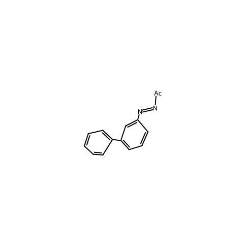 CC(=O)N=Nc1cccc(-c2ccccc2)c1